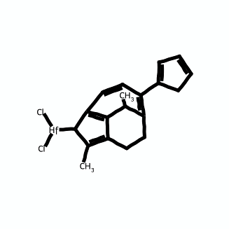 CC1=C2CCC3=C(C4=CC=CC4)C=CC(=C2C3C)[CH]1[Hf]([Cl])[Cl]